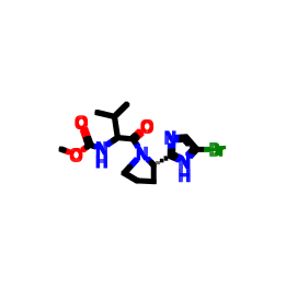 COC(=O)NC(C(=O)N1CCC[C@H]1c1ncc(Br)[nH]1)C(C)C